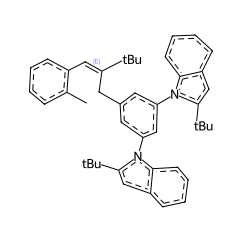 Cc1ccccc1/C=C(\Cc1cc(-n2c(C(C)(C)C)cc3ccccc32)cc(-n2c(C(C)(C)C)cc3ccccc32)c1)C(C)(C)C